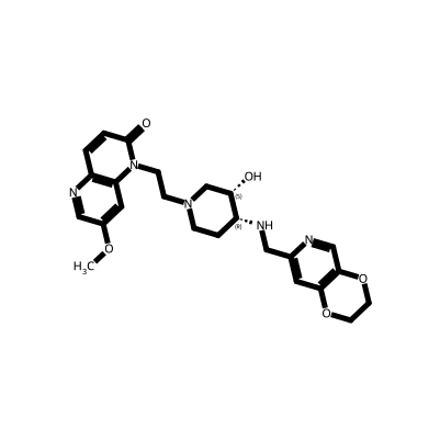 COc1cnc2ccc(=O)n(CCN3CC[C@@H](NCc4cc5c(cn4)OCCO5)[C@@H](O)C3)c2c1